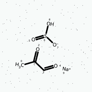 CC(=O)C=O.O=S([O-])O.[Na+]